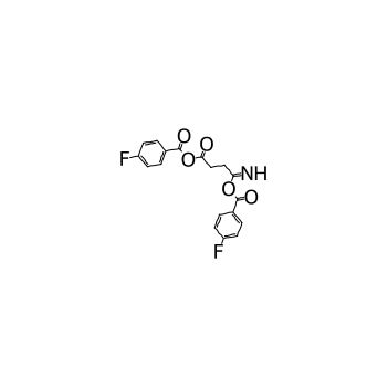 N=C(CCC(=O)OC(=O)c1ccc(F)cc1)OC(=O)c1ccc(F)cc1